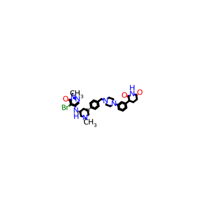 CN1C[C@H](Nc2cnn(C)c(=O)c2Br)C[C@H](c2ccc(CN3CCN(c4cccc(C5CCC(=O)NC5=O)c4)CC3)cc2)C1